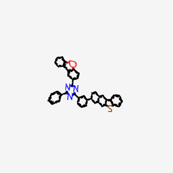 c1ccc(-c2nc(-c3cccc(-c4ccc5cc6c(cc5c4)sc4ccccc46)c3)nc(-c3ccc4oc5ccccc5c4c3)n2)cc1